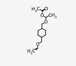 C=COCC1CCC(COC(C)OC(C)=O)CC1